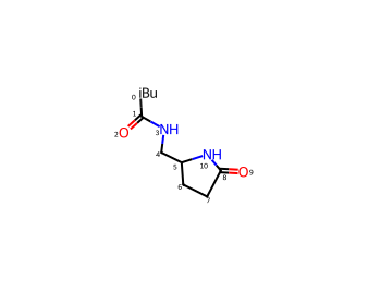 CCC(C)C(=O)NCC1CCC(=O)N1